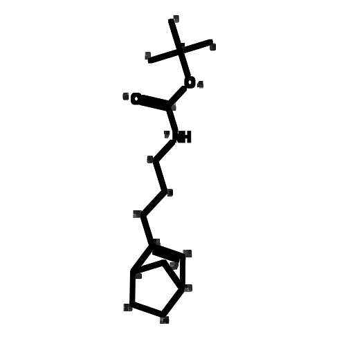 CC(C)(C)OC(=O)NCCCC1=CC2CCC1C2